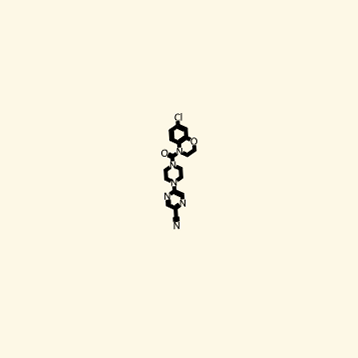 N#Cc1cnc(N2CCN(C(=O)N3CCOc4cc(Cl)ccc43)CC2)cn1